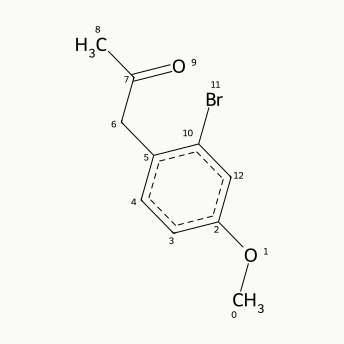 COc1ccc(CC(C)=O)c(Br)c1